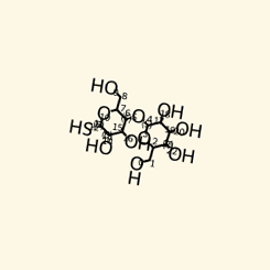 OCC1O[C@@H](O[C@@H]2C(CO)O[C@@H](S)[C@@H](O)C2O)C(O)C(O)[C@H]1O